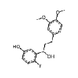 COc1ccc(CCC(O)c2cc(O)ccc2F)cc1OC